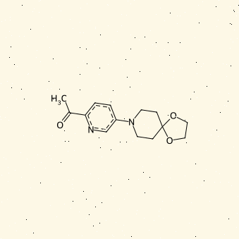 CC(=O)c1ccc(N2CCC3(CC2)OCCO3)cn1